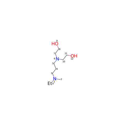 CCN(C)CCCN(CCO)CCO